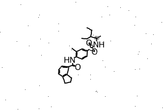 CCC(CC)[C@@H](C)NS(=O)(=O)c1ccc(NC(=O)c2cccc3c2CCC3)c(C)c1